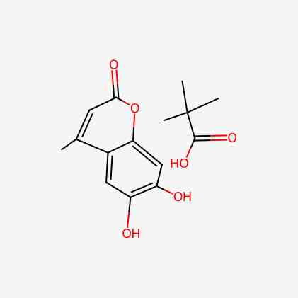 CC(C)(C)C(=O)O.Cc1cc(=O)oc2cc(O)c(O)cc12